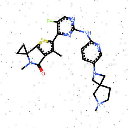 Cc1c(-c2nc(Nc3ccc(N4CC5(CCN(C)C5)C4)cn3)ncc2F)sc2c1C(=O)N(C)C21CC1